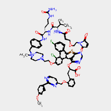 COc1ccc(-c2nccc(COc3ccccc3C[C@@H](Oc3ncnc4sc5c6ccc(F)cc6c6c(Cl)c(OCCN7CC[N+](C)(Cc8ccc(NC(=O)[C@H](CCCNC(N)=O)NC(=O)[C@@H](NC(=O)CCOCCN9C(=O)C=CC9=O)C(C)C)cc8)CC7)ccc6c5c34)C(=O)O)n2)cc1